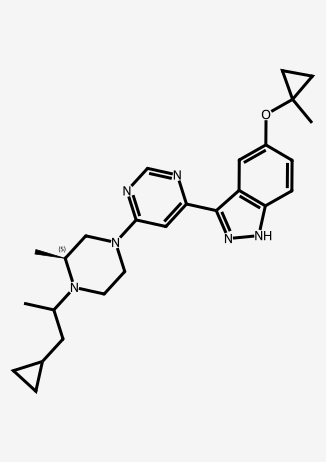 CC(CC1CC1)N1CCN(c2cc(-c3n[nH]c4ccc(OC5(C)CC5)cc34)ncn2)C[C@@H]1C